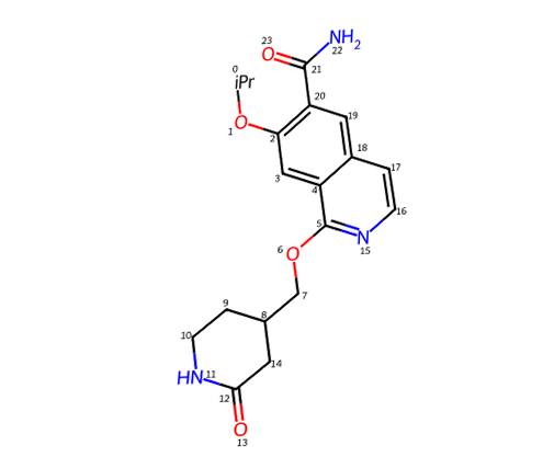 CC(C)Oc1cc2c(OCC3CCNC(=O)C3)nccc2cc1C(N)=O